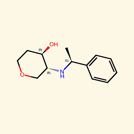 C[C@H](N[C@@H]1COCC[C@H]1O)c1ccccc1